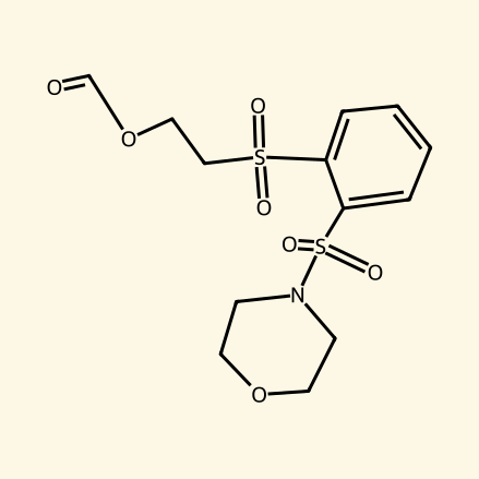 O=COCCS(=O)(=O)c1ccccc1S(=O)(=O)N1CCOCC1